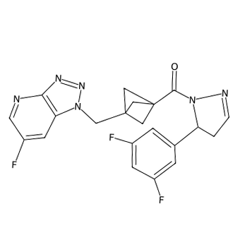 O=C(N1N=CCC1c1cc(F)cc(F)c1)C12CC(Cn3nnc4ncc(F)cc43)(C1)C2